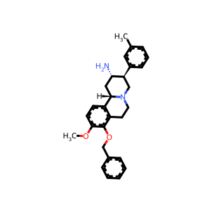 COc1ccc2c(c1OCc1ccccc1)CCN1C[C@H](c3cccc(C)c3)[C@@H](N)C[C@@H]21